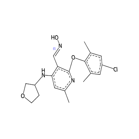 Cc1cc(NC2CCOC2)c(/C=N/O)c(Oc2c(C)cc(Cl)cc2C)n1